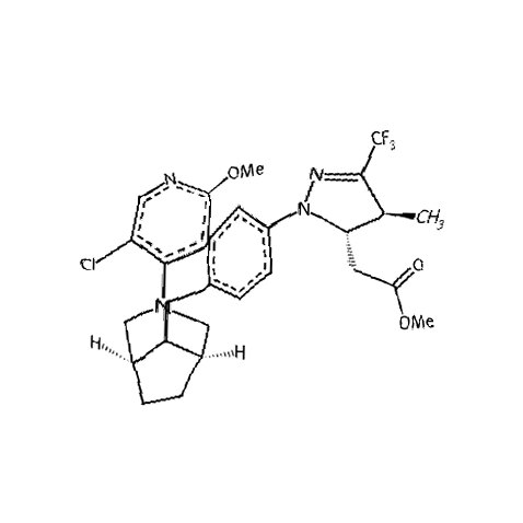 COC(=O)C[C@H]1[C@H](C)C(C(F)(F)F)=NN1c1ccc(CC2[C@@H]3CC[C@H]2CN(c2cc(OC)ncc2Cl)C3)cc1